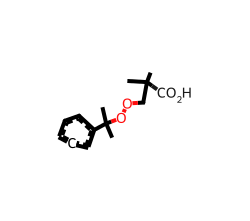 CC(C)(COOC(C)(C)c1ccccc1)C(=O)O